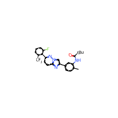 Cc1ccc(-c2cn3nc(-c4c(F)cccc4C(F)(F)F)ccc3n2)cc1NC(=O)C(C)(C)C